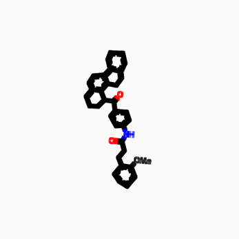 COc1ccccc1CCC(=O)Nc1ccc(C(=O)C2CCC=c3ccc4c(c32)CC=c2ccccc2=4)cc1